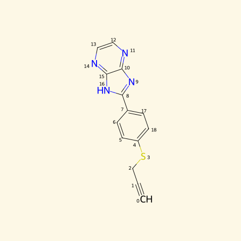 C#CCSc1ccc(-c2nc3nccnc3[nH]2)cc1